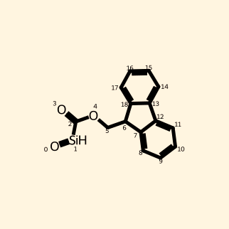 O=[SiH]C(=O)OCC1c2ccccc2-c2ccccc21